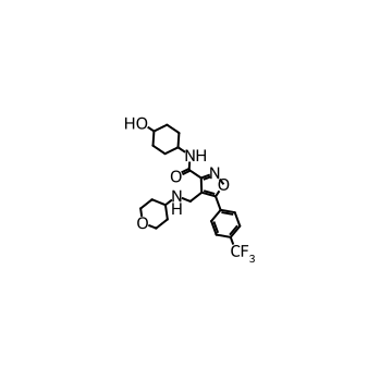 O=C(NC1CCC(O)CC1)c1noc(-c2ccc(C(F)(F)F)cc2)c1CNC1CCOCC1